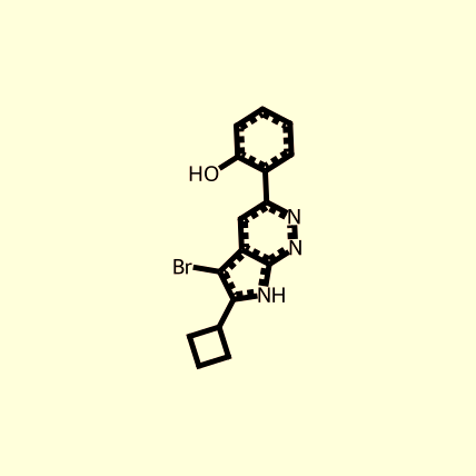 Oc1ccccc1-c1cc2c(Br)c(C3CCC3)[nH]c2nn1